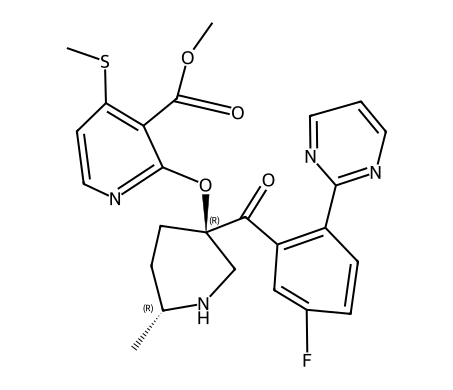 COC(=O)c1c(SC)ccnc1O[C@]1(C(=O)c2cc(F)ccc2-c2ncccn2)CC[C@@H](C)NC1